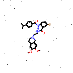 COc1cc2c(cc1OC)CN(CCNC(=O)c1cc(Br)ccc1NC(=O)c1ccc(C(C)C)cc1)CC2